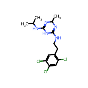 CC1N=C(NCCc2cc(Cl)c(Cl)cc2Cl)NC(NC(C)C)=N1